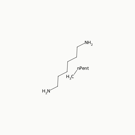 CCCCCC.NCCCCCCN